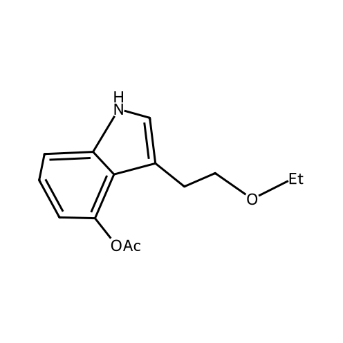 CCOCCc1c[nH]c2cccc(OC(C)=O)c12